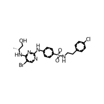 C[C@H](CO)Nc1nc(Nc2ccc(S(=O)(=O)NCCc3ccc(Cl)cc3)cc2)ncc1Br